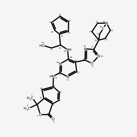 CC1(C)OC(=O)c2ccc(Nc3ncc(-c4nc(C56CCN(CC5)CC6)no4)c(NC(CO)c4ccccc4)n3)cc21